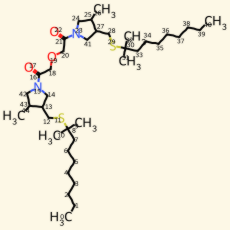 CCCCCCCCC(C)(C)SCC1CN(C(=O)COCC(=O)N2CC(C)C(CSC(C)(C)CCCCCCCC)C2)CC1C